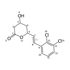 O=C1CC(O)CC(/C=C/c2cccc(Cl)c2Cl)O1